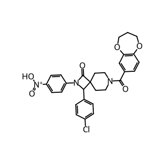 O=C(c1ccc2c(c1)OCCCO2)N1CCC2(CC1)C(=O)N(c1ccc([N+](=O)O)cc1)C2c1ccc(Cl)cc1